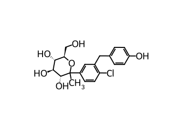 CC1(c2ccc(Cl)c(Cc3ccc(O)cc3)c2)O[C@H](CO)[C@@H](O)[C@H](O)[C@H]1O